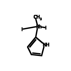 [CH3][Rh]([I])([I])[c]1ccc[nH]1